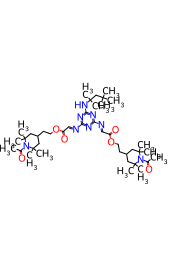 CC(=O)N1C(C)(C)CC(CCOC(=O)C=Nc2nc(N=CC(=O)OCCC3CC(C)(C)N(C(C)=O)C(C)(C)C3)nc(NC(C)(C)CC(C)(C)C)n2)CC1(C)C